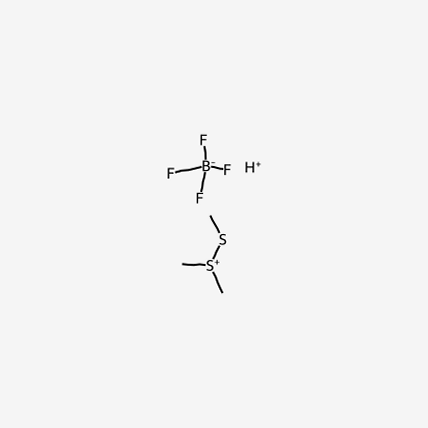 CS[S+](C)C.F[B-](F)(F)F.[H+]